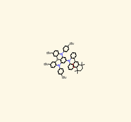 CC(C)(C)c1ccc(N2c3ccc(C(C)(C)C)cc3B3c4cc(C(C)(C)C)ccc4N(c4ccc(C(C)(C)C)cc4)c4cc(N(c5ccccc5)c5ccccc5-c5ccc6c(c5)C(C)(C)CCC6(C)C)cc2c43)cc1